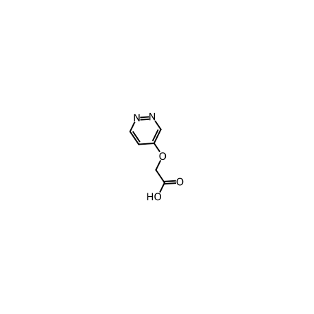 O=C(O)COc1ccnnc1